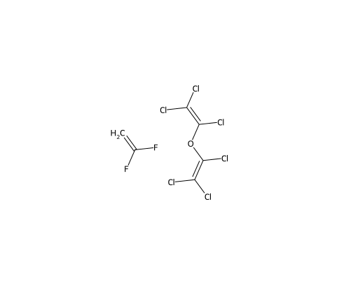 C=C(F)F.ClC(Cl)=C(Cl)OC(Cl)=C(Cl)Cl